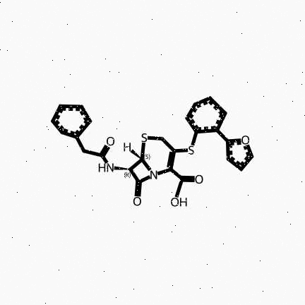 O=C(Cc1ccccc1)N[C@@H]1C(=O)N2C(C(=O)O)=C(Sc3ccccc3-c3ccco3)CS[C@@H]12